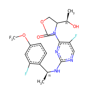 C[C@H](Nc1ncc(F)c(N2C(=O)OCC2[C@@H](C)O)n1)c1ccc(OC(F)(F)F)cc1F